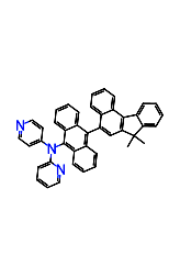 CC1(C)c2ccccc2-c2c1cc(-c1c3ccccc3c(N(c3ccncc3)c3ccccn3)c3ccccc13)c1ccccc21